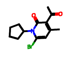 CC(=O)c1c(C)cc(Br)n(C2CCCC2)c1=O